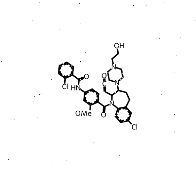 COc1cc(NC(=O)c2ccccc2Cl)ccc1C(=O)N1c2ccc(Cl)cc2CCC(N2CCN(CCO)CC2)C1C=C=O